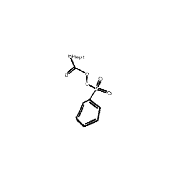 CCCCCCCC(=O)OOS(=O)(=O)c1ccccc1